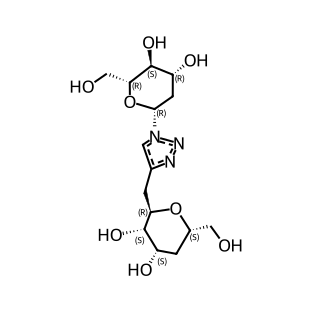 OC[C@@H]1C[C@H](O)[C@H](O)[C@@H](Cc2cn([C@H]3C[C@@H](O)[C@H](O)[C@@H](CO)O3)nn2)O1